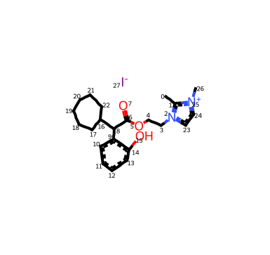 Cc1n(CCOC(=O)C(c2ccccc2O)C2CCCCCC2)cc[n+]1C.[I-]